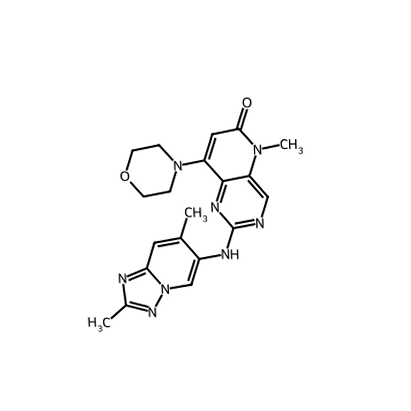 Cc1nc2cc(C)c(Nc3ncc4c(n3)c(N3CCOCC3)cc(=O)n4C)cn2n1